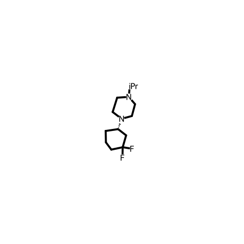 CC(C)N1CCN([C@H]2CCCC(F)(F)C2)CC1